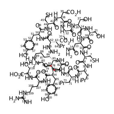 CC(C)CC(NC(=O)[C@H](CS)NC(=O)C(CC(N)=O)NC(=O)[C@H](CO)NC(=O)C(CO)NC(=O)[C@H](CC(=O)O)NC(=O)C(CC(=O)O)NC(=O)[C@H](CS)NC(=O)C(Cc1ccc(O)cc1)NC(=O)[C@H](CC(C)C)NN)C(=O)N[C@@H](CC(C)C)C(=O)NC(CCCCN)C(=O)N[C@@H](CCCCN)C(=O)NC(Cc1ccc(O)cc1)C(=O)N[C@@H](CCCNC(=N)N)C(=O)NC(CO)C(=O)O